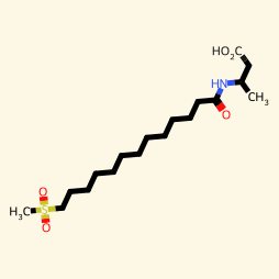 CC(CC(=O)O)NC(=O)CCCCCCCCCCCCS(C)(=O)=O